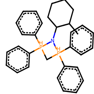 CC1CCCCC1N1[PH](c2ccccc2)(c2ccccc2)C[PH]1(c1ccccc1)c1ccccc1